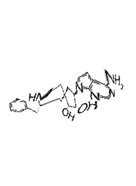 Nc1ncnc2c1ccn2[C@@H]1C[C@@]2(CN[C@@H](Cc3ccccc3)C2)[C@@H](O)[C@H]1O